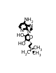 C=P(C)(C)CC[C@H]1O[C@@H](n2cnc3c(N)ccnc32)[C@H](O)[C@@H]1O